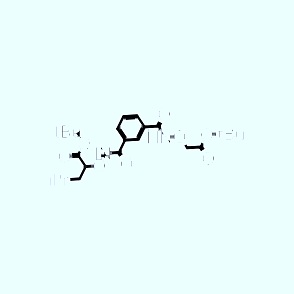 CC(C)CC(ONC(=O)c1cccc(C(=O)NOCC(=O)OC(C)(C)C)c1)C(=O)OC(C)(C)C